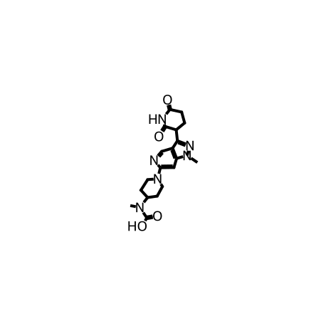 CN(C(=O)O)C1CCN(c2cc3c(cn2)c(C2CCC(=O)NC2=O)nn3C)CC1